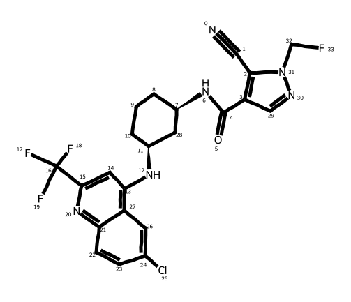 N#Cc1c(C(=O)N[C@@H]2CCC[C@H](Nc3cc(C(F)(F)F)nc4ccc(Cl)cc34)C2)cnn1CF